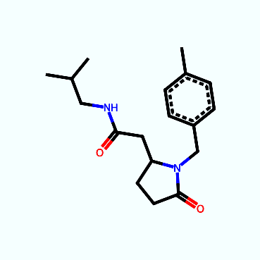 Cc1ccc(CN2C(=O)CCC2CC(=O)NCC(C)C)cc1